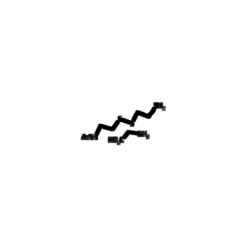 CC(=O)NCCSSCCN.NCC(=O)O